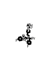 CC(C)C(c1ccc(F)cc1)N(CCC1CCN(C(=O)OC(C)(C)C)CC1)C(=O)CS(=O)(=O)c1ccc(F)cc1